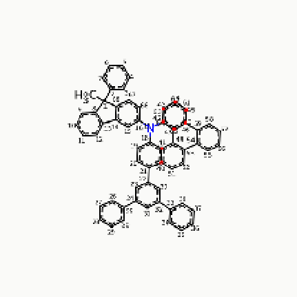 CC1(c2ccccc2)c2ccccc2-c2cc(N(c3ccc(-c4cc(-c5ccccc5)cc(-c5ccccc5)c4)cc3)c3ccccc3-c3ccccc3-c3ccccc3-c3ccccc3)ccc21